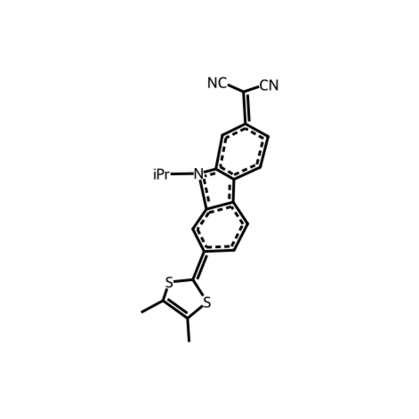 CC1=C(C)SC(=c2ccc3c4ccc(=C(C#N)C#N)cc4n(C(C)C)c3c2)S1